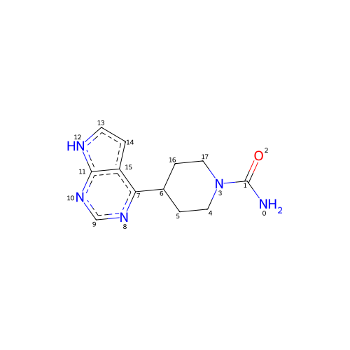 NC(=O)N1CCC(c2ncnc3[nH]ccc23)CC1